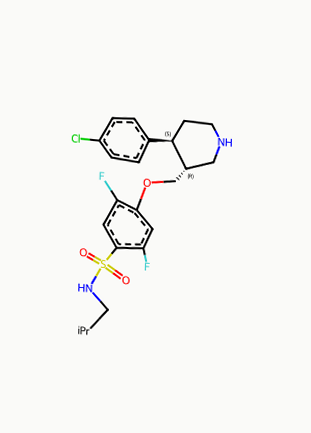 CC(C)CNS(=O)(=O)c1cc(F)c(OC[C@H]2CNCC[C@@H]2c2ccc(Cl)cc2)cc1F